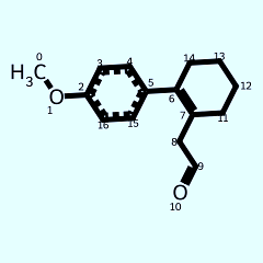 COc1ccc(C2=C(CC=O)CCCC2)cc1